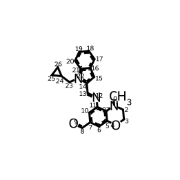 CN1CCOc2cc(C=O)cc(/N=C/c3cc4ccccc4n3CC3CC3)c21